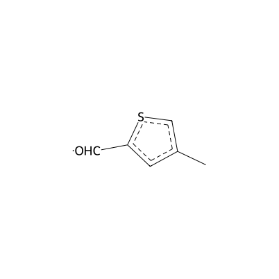 Cc1csc([C]=O)c1